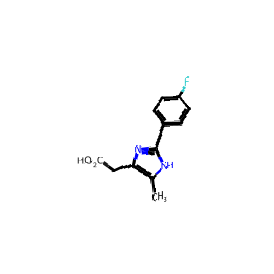 Cc1[nH]c(-c2ccc(F)cc2)nc1CC(=O)O